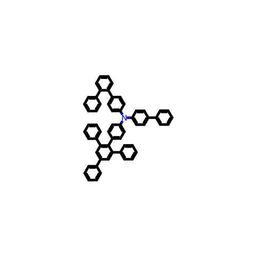 c1ccc(-c2ccc(N(c3ccc(-c4ccccc4-c4ccccc4)cc3)c3ccc(-c4c(-c5ccccc5)cc(-c5ccccc5)cc4-c4ccccc4)cc3)cc2)cc1